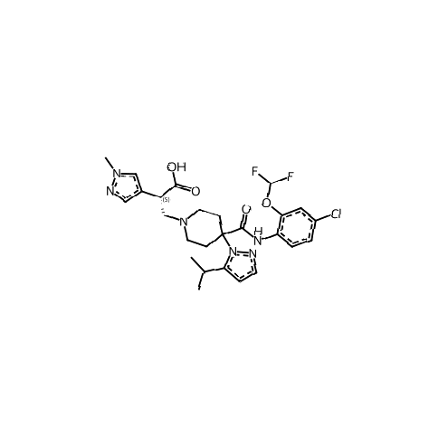 CC(C)c1ccnn1C1(C(=O)Nc2ccc(Cl)cc2OC(F)F)CCN(C[C@@H](C(=O)O)c2cnn(C)c2)CC1